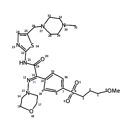 COCCCS(=O)(=O)c1ccc(/C(=N\N2CCOCC2)C(=O)Nc2ncc(CN3CCN(C)CC3)s2)cc1